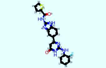 O=C(Nc1nc2cc(-c3cc(=O)[nH]c(Nc4ccccc4F)n3)ccc2[nH]1)c1cccs1